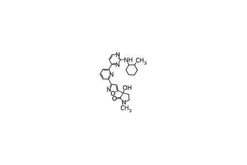 CC1CCCCC1Nc1nccc(-c2cccc(-c3cc(C4(O)CCN(C)C4=O)on3)n2)n1